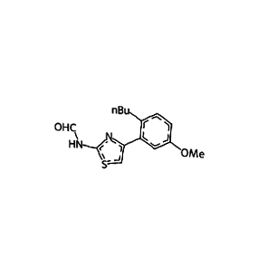 CCCCc1ccc(OC)cc1-c1csc(NC=O)n1